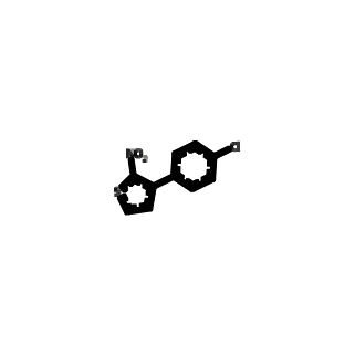 O=[N+]([O-])c1sccc1-c1ccc(Cl)cc1